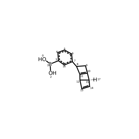 OB(O)c1cccc(C2CC3=C2C2C=C[C@H]32)c1